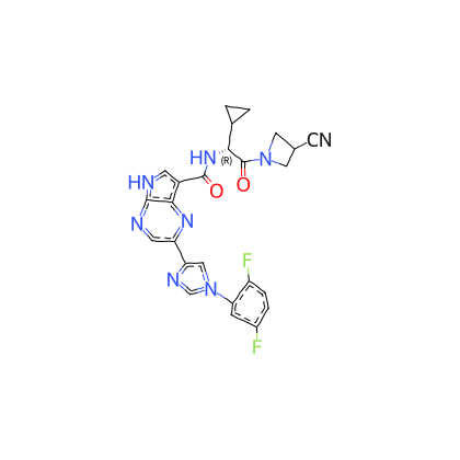 N#CC1CN(C(=O)[C@H](NC(=O)c2c[nH]c3ncc(-c4cn(-c5cc(F)ccc5F)cn4)nc23)C2CC2)C1